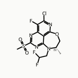 C[C@H]1COc2nc(Cl)c(F)c3nc(S(C)(=O)=O)nc(c23)N1CC(F)F